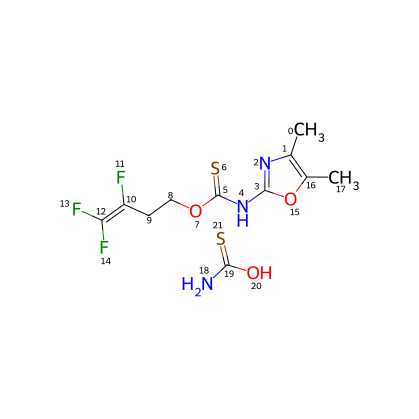 Cc1nc(NC(=S)OCCC(F)=C(F)F)oc1C.NC(O)=S